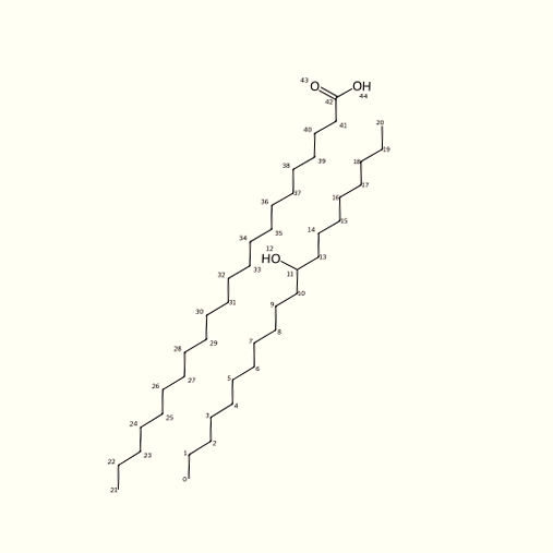 CCCCCCCCCCCC(O)CCCCCCCC.CCCCCCCCCCCCCCCCCCCCCC(=O)O